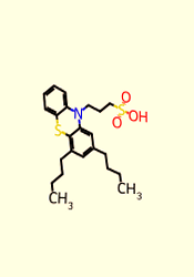 CCCCc1cc(CCCC)c2c(c1)N(CCCS(=O)(=O)O)c1ccccc1S2